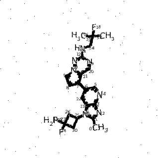 Cc1nc2ncc(-c3ccn4nc(NCC(C)(C)F)ncc34)cc2n1C1CC(F)(P)C1